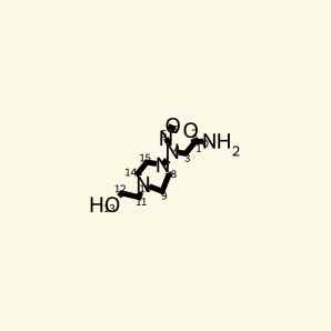 NC(=O)CN(N=O)N1CCN(CCO)CC1